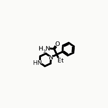 CCC(C(N)=O)(c1ccccc1)N1CCNCC1